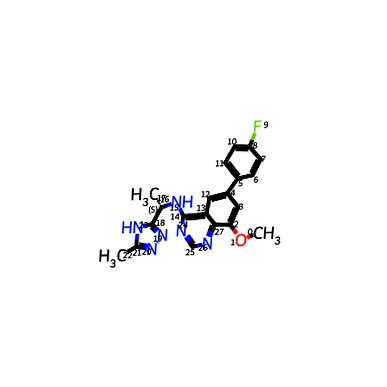 COc1cc(-c2ccc(F)cc2)cc2c(N[C@@H](C)c3nnc(C)[nH]3)ncnc12